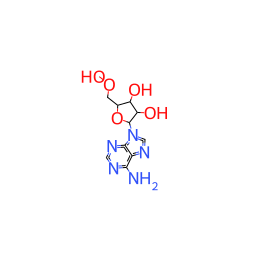 Nc1ncnc2c1ncn2C1OC(COO)C(O)C1O